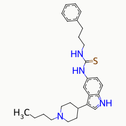 CCCCN1CCC(c2c[nH]c3ccc(NC(=S)NCCCc4ccccc4)cc23)CC1